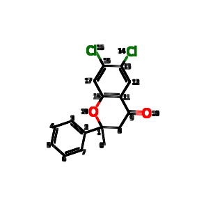 CC1(c2ccccc2)CC(=O)c2cc(Cl)c(Cl)cc2O1